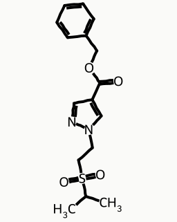 CC(C)S(=O)(=O)CCn1cc(C(=O)OCc2ccccc2)cn1